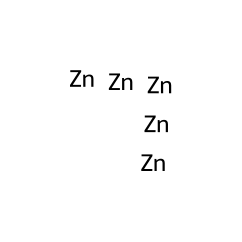 [Zn].[Zn].[Zn].[Zn].[Zn]